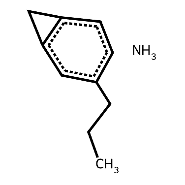 CCCc1ccc2c(c1)C2.N